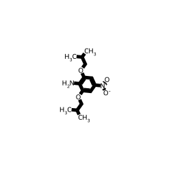 CC(C)COc1cc([N+](=O)[O-])cc(OCC(C)C)c1N